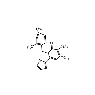 Cc1ccc(Cn2c(-c3cccs3)cc(C(F)(F)F)c(N)c2=O)c(C)c1